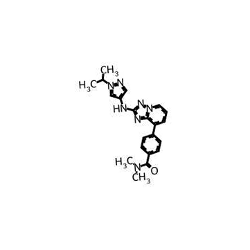 CC(C)n1cc(Nc2nc3c(-c4ccc(C(=O)N(C)C)cc4)cccn3n2)cn1